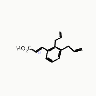 C=CCc1cccc(/C=C/C(=O)O)c1CC=C